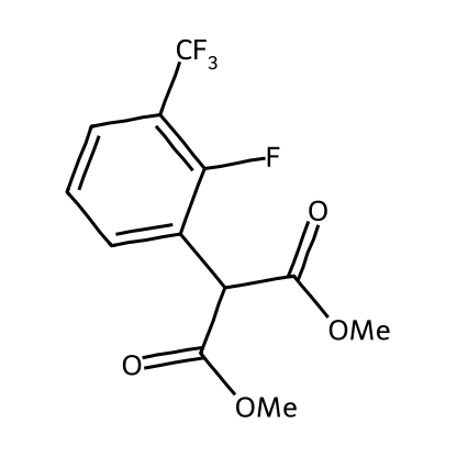 COC(=O)C(C(=O)OC)c1cccc(C(F)(F)F)c1F